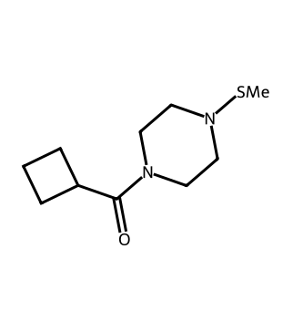 CSN1CCN(C(=O)C2CCC2)CC1